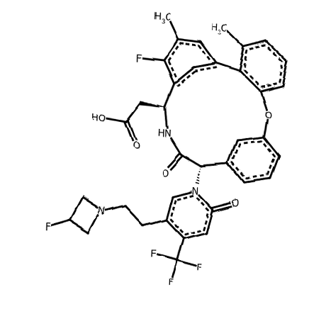 Cc1cc2cc(c1F)[C@H](CC(=O)O)NC(=O)[C@@H](n1cc(CCN3CC(F)C3)c(C(F)(F)F)cc1=O)c1cccc(c1)Oc1cccc(C)c1-2